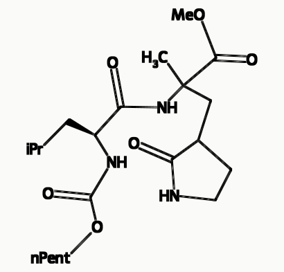 CCCCCOC(=O)N[C@@H](CC(C)C)C(=O)NC(C)(CC1CCNC1=O)C(=O)OC